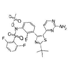 CC(C)(C)c1nc(-c2cccc(N(OS(C)(=O)=O)S(=O)(=O)c3c(F)cccc3F)c2F)c(-c2ccnc(N)n2)s1